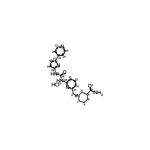 Cl.NC(=O)C1CCCN(Cc2cccc(NC(=O)Nc3csc(-c4ccncc4)n3)n2)C1